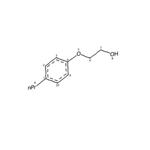 C[CH]Cc1ccc(OCCO)cc1